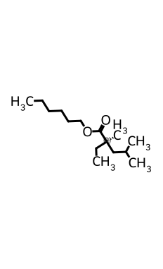 CCCCCCOC(=O)[C@](C)(CC)CC(C)C